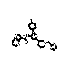 Cc1ccc(-n2nc(C3CCCN(Cc4nccs4)C3)cc2NC(=O)c2cnn3cccnc23)cc1